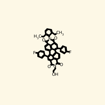 CCc1cccc(CC)c1N1C(=O)c2ccc3c4c(-c5ccc(F)cc5)cc5c6c(ccc(c7c(-c8ccc(F)cc8)cc(c2c37)C1=O)c64)C(=O)N(CCO)C5=O